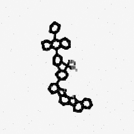 CC1(C)c2ccc(-c3cccc4c3oc3c4ccc4c5ccc6ccccc6c5oc43)cc2-c2ccc(-c3c4ccccc4c(-c4ccccc4)c4ccccc34)cc21